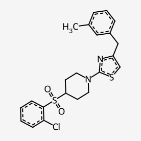 Cc1cccc(Cc2csc(N3CCC(S(=O)(=O)c4ccccc4Cl)CC3)n2)c1